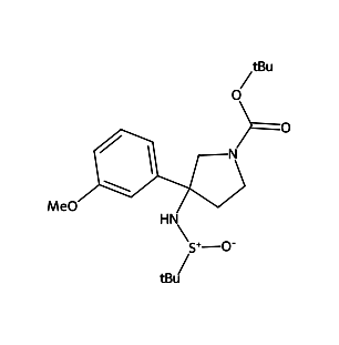 COc1cccc(C2(N[S+]([O-])C(C)(C)C)CCN(C(=O)OC(C)(C)C)C2)c1